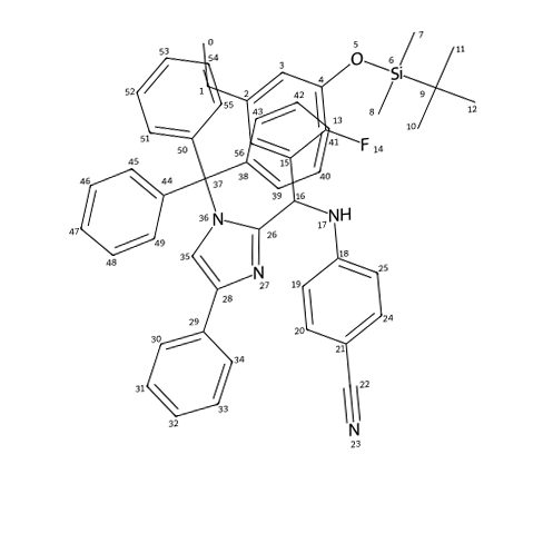 CCc1cc(O[Si](C)(C)C(C)(C)C)c(F)c(C(Nc2ccc(C#N)cc2)c2nc(-c3ccccc3)cn2C(c2ccccc2)(c2ccccc2)c2ccccc2)c1